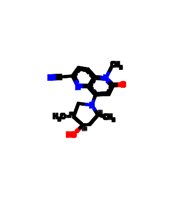 C[C@@H]1CN(c2cc(=O)n(C)c3ccc(C#N)nc23)[C@@H](C)C[C@H]1O